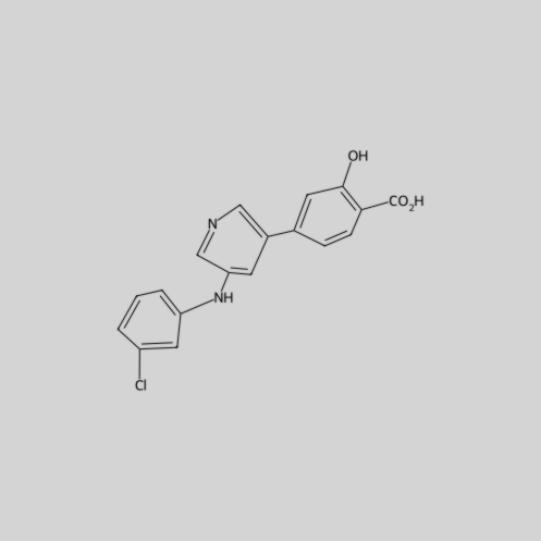 O=C(O)c1ccc(-c2cncc(Nc3cccc(Cl)c3)c2)cc1O